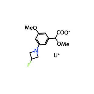 COc1cc(C(OC)C(=O)[O-])cc(N2CC(F)C2)c1.[Li+]